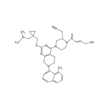 Cc1cccc2cccc(N3CCc4c(nc(OCC5(CN(C)C)CC5)nc4N4CCN(C(=O)/C=C/CO)C(CC#N)C4)C3)c12